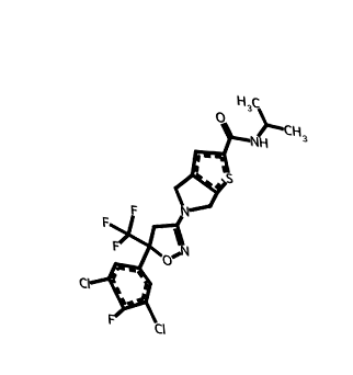 CC(C)NC(=O)c1cc2c(s1)CN(C1=NOC(c3cc(Cl)c(F)c(Cl)c3)(C(F)(F)F)C1)C2